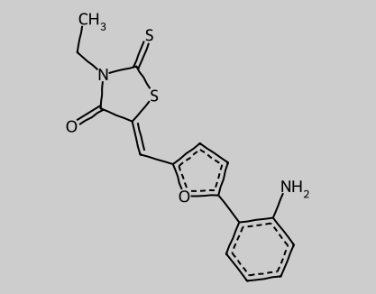 CCN1C(=O)/C(=C/c2ccc(-c3ccccc3N)o2)SC1=S